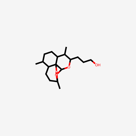 CC1CCC2C(C)C(CCCO)OC3OC4(C)CCC1C32OO4